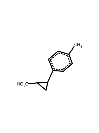 Cc1ccc(C2CC2C(=O)O)cc1